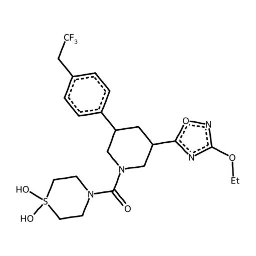 CCOc1noc(C2CC(c3ccc(CC(F)(F)F)cc3)CN(C(=O)N3CCS(O)(O)CC3)C2)n1